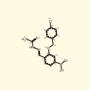 CCN(CC)c1ccc(/C=N/NC(N)=S)c(OCc2ccc(Cl)cc2)c1